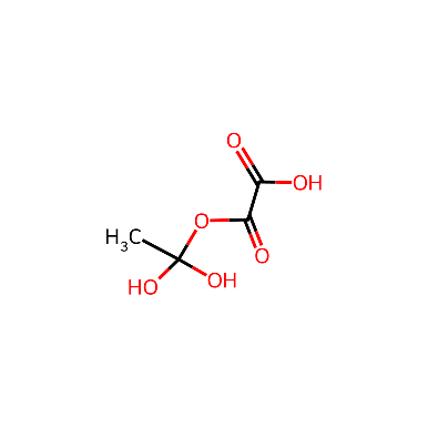 CC(O)(O)OC(=O)C(=O)O